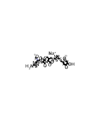 CO/N=C(\C(=O)N[C@@H]1C(=O)N2C(C(=O)[O-])=C(CSc3nnc(SCc4cc(=O)c(O)cn4OC)s3)CS[C@@H]12)c1nsc(N)n1.[Na+]